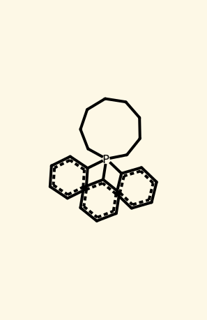 c1ccc(P2(c3ccccc3)(c3ccccc3)CCCCCCCC2)cc1